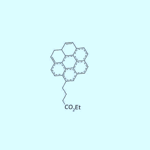 CCOC(=O)CCCc1cc2ccc3ccc4c5c6c7c(ccc1c7c2c35)=CCC6C=C4